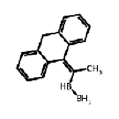 BBC(C)=C1c2ccccc2Cc2ccccc21